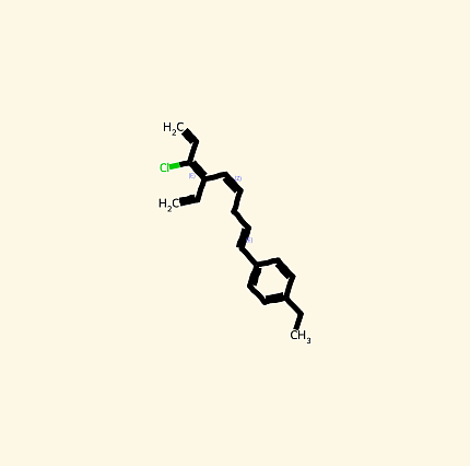 C=C/C(Cl)=C(C=C)\C=C/C/C=C/c1ccc(CC)cc1